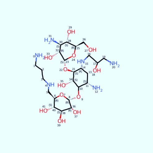 NCCCNC[C@H]1O[C@H](OC2[C@@H](N)C[C@@H](NCC(O)CN)[C@H](O[C@H]3O[C@H](CO)[C@@H](O)[C@H](N)[C@H]3O)[C@H]2O)[C@H](O)[C@@H](O)[C@@H]1O